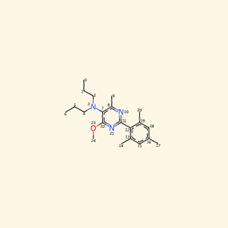 CCCN(CCC)c1c(C)nc(-c2c(C)cc(C)cc2C)nc1OC